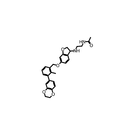 CC(=O)NCCNC1COc2cc(OCc3cccc(-c4ccc5c(c4)OCCO5)c3C)ccc21